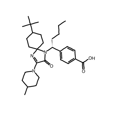 CCCC[C@H](c1ccc(C(=O)O)cc1)N1C(=O)C(N2CCC(C)CC2)=NC12CCC(C(C)(C)C)CC2